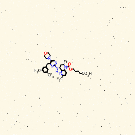 CC[C@@H]1C[C@H](Nc2ncc(N3CCOCC3)c(Cc3cc(C(F)(F)F)cc(C(F)(F)F)c3)n2)c2nc(C(F)(F)F)ccc2N1C(=O)OCCCCC(=O)O